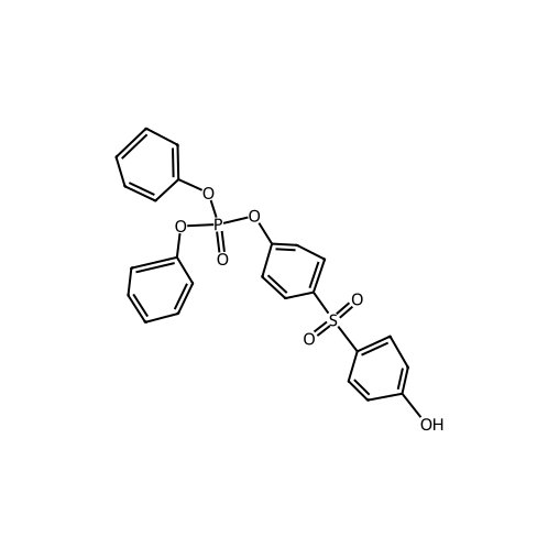 O=P(Oc1ccccc1)(Oc1ccccc1)Oc1ccc(S(=O)(=O)c2ccc(O)cc2)cc1